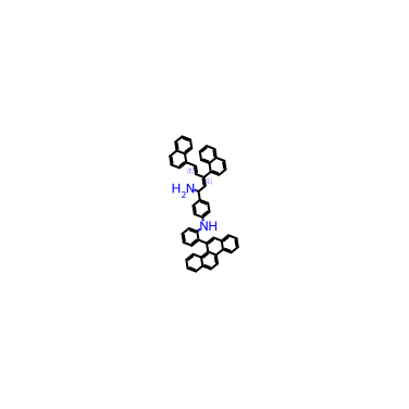 NC(/C=C(\C=C\c1cccc2ccccc12)c1cccc2ccccc12)c1ccc(Nc2ccccc2-c2cc3ccccc3c3ccc4ccccc4c23)cc1